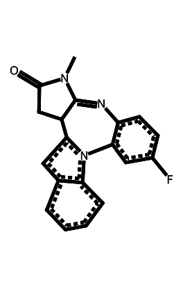 CN1C(=O)CC2C1=Nc1ccc(F)cc1-n1c2cc2ccccc21